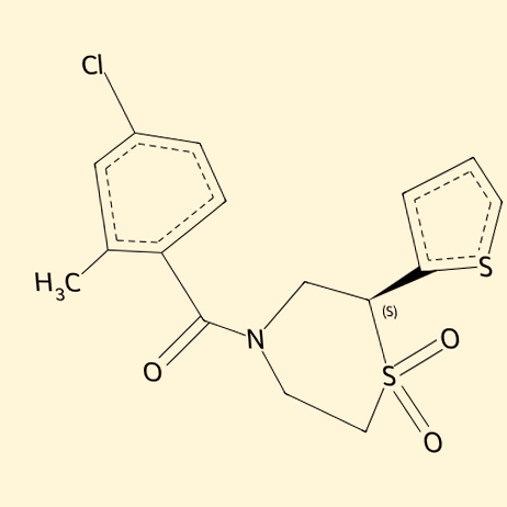 Cc1cc(Cl)ccc1C(=O)N1CCS(=O)(=O)[C@H](c2cccs2)C1